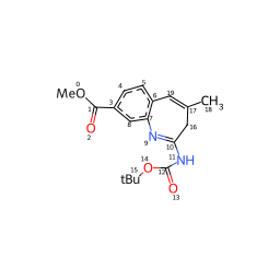 COC(=O)c1ccc2c(c1)N=C(NC(=O)OC(C)(C)C)CC(C)=C2